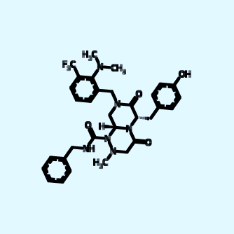 CN(C)c1c(CN2C[C@@H]3N(C(=O)CN(C)N3C(=O)NCc3ccccc3)[C@@H](Cc3ccc(O)cc3)C2=O)cccc1C(F)(F)F